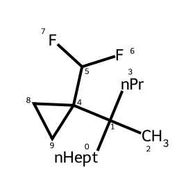 CCCCCCCC(C)(CCC)C1(C(F)F)CC1